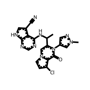 CC(Nc1ncnc2[nH]cc(C#N)c12)c1cn2ccc(Cl)c2c(=O)n1-c1cnn(C)c1